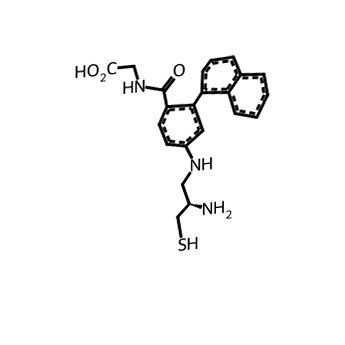 N[C@@H](CS)CNc1ccc(C(=O)NCC(=O)O)c(-c2cccc3ccccc23)c1